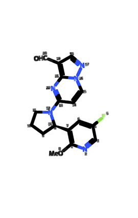 COc1ncc(F)cc1[C@H]1CCCN1c1ccn2ncc(C=O)c2n1